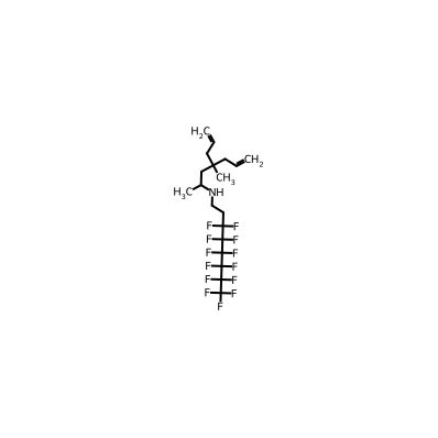 C=CCC(C)(CC=C)CC(C)NCCC(F)(F)C(F)(F)C(F)(F)C(F)(F)C(F)(F)C(F)(F)F